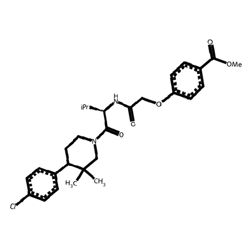 COC(=O)c1ccc(OCC(=O)N[C@@H](C(=O)N2CCC(c3ccc(Cl)cc3)C(C)(C)C2)C(C)C)cc1